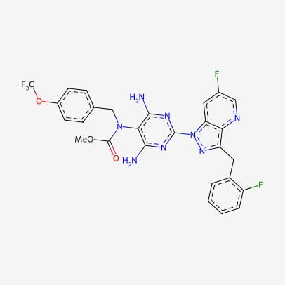 COC(=O)N(Cc1ccc(OC(F)(F)F)cc1)c1c(N)nc(-n2nc(Cc3ccccc3F)c3ncc(F)cc32)nc1N